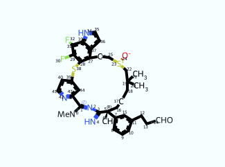 CN/C1=N\C(=N)[C@@](C)(c2cccc(CCC=O)c2)CCCC(C)(C)C[S+]([O-])CCc2c(c(F)c(F)c3[nH]ccc23)Sc2ccnc1c2